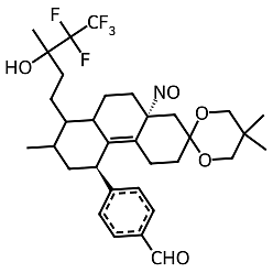 CC1C[C@H](c2ccc(C=O)cc2)C2=C3CCC4(C[C@]3(N=O)CCC2C1CCC(C)(O)C(F)(F)C(F)(F)F)OCC(C)(C)CO4